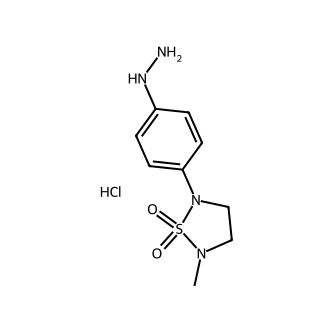 CN1CCN(c2ccc(NN)cc2)S1(=O)=O.Cl